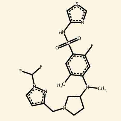 Cc1cc(S(=O)(=O)Nc2cscn2)c(F)cc1N(C)C1CCN(Cc2ccn(C(F)F)n2)C1